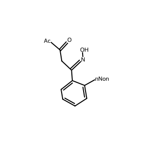 CCCCCCCCCc1ccccc1C(CC(=O)C(C)=O)=NO